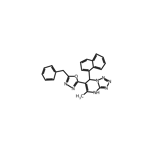 CC1=C(c2nnc(Cc3ccccc3)o2)C(c2cccc3ccccc23)n2nnnc2N1